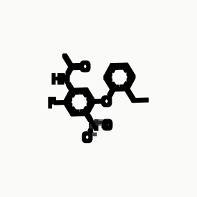 CCc1ccccc1Oc1cc(NC(C)=O)c(F)cc1[N+](=O)[O-]